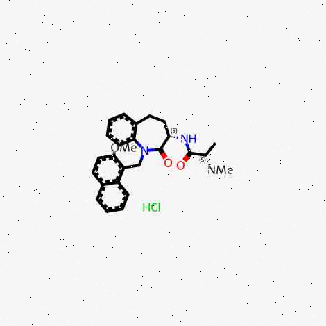 CN[C@@H](C)C(=O)N[C@H]1CCc2ccccc2N(Cc2c(OC)ccc3ccccc23)C1=O.Cl